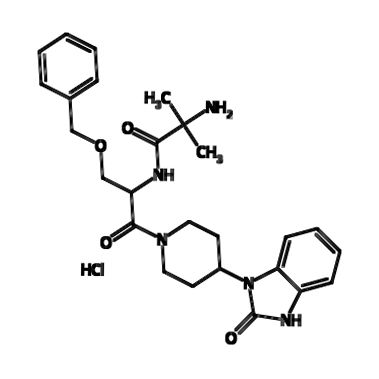 CC(C)(N)C(=O)NC(COCc1ccccc1)C(=O)N1CCC(n2c(=O)[nH]c3ccccc32)CC1.Cl